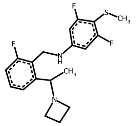 CSc1c(F)cc(NCc2c(F)cccc2C(C)N2CCC2)cc1F